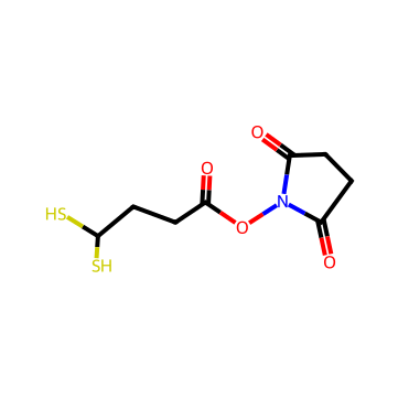 O=C(CCC(S)S)ON1C(=O)CCC1=O